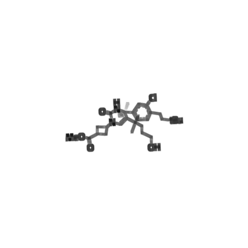 COC(=O)C1CC(N2C=C(C(C)(C)CCCO)[C@](C)(c3ccc(CCC(C)(C)C)c(Cl)c3)NC2=O)C1